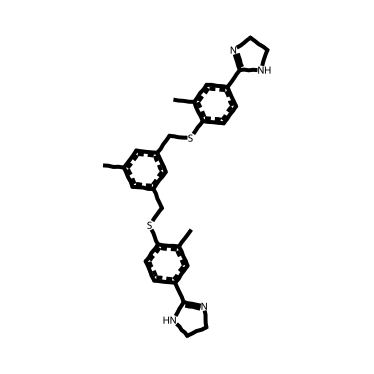 Cc1cc(CSc2ccc(C3=NCCN3)cc2C)cc(CSc2ccc(C3=NCCN3)cc2C)c1